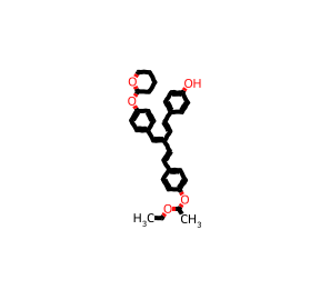 CCOC(C)Oc1ccc(C=CC(C=Cc2ccc(O)cc2)=Cc2ccc(OC3CCCCO3)cc2)cc1